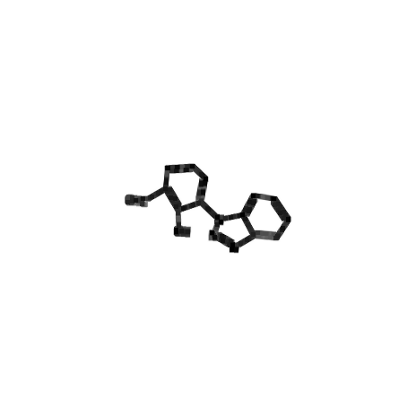 O=Cc1cccc(-n2nnc3ccccc32)c1O